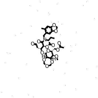 CCCN(Cc1cc2c(cc1C)OCO2)C(=O)[C@@H](OC(C)=O)[C@@H](CC=O)O[C@@H]1O[C@H](COC(C)=O)[C@@H](OC)[C@@H]2OCOCO[C@@H]12